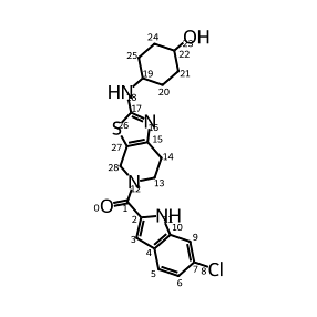 O=C(c1cc2ccc(Cl)cc2[nH]1)N1CCc2nc(NC3CCC(O)CC3)sc2C1